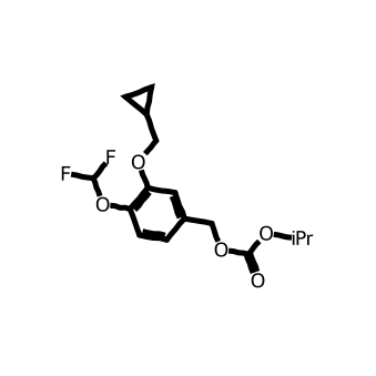 CC(C)OC(=O)OCc1ccc(OC(F)F)c(OCC2CC2)c1